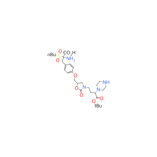 CCCCS(=O)(=O)C(N)(Cc1ccc(OCC2CN(CCC(C(=O)OC(C)(C)C)N3CCNCC3)C(=O)O2)cc1)C(=O)O